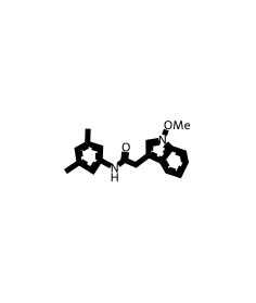 COn1cc(CC(=O)Nc2cc(C)cc(C)c2)c2ccccc21